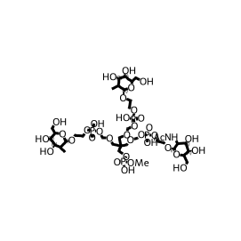 COP(=O)(O)OCC(COCOP(=O)(O)OCCO[C@@H]1OC(CO)[C@H](O)[C@H](O)C1C)(COCOP(=O)(O)OCCO[C@@H]1OC(CO)[C@H](O)[C@H](O)C1C)COCOP(=O)(O)OCCO[C@@H]1OC(CO)[C@H](O)[C@H](O)C1NC(C)=O